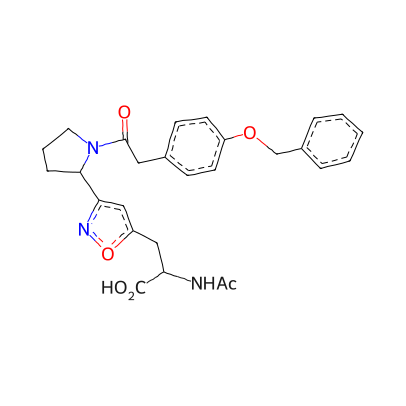 CC(=O)NC(Cc1cc(C2CCCN2C(=O)Cc2ccc(OCc3ccccc3)cc2)no1)C(=O)O